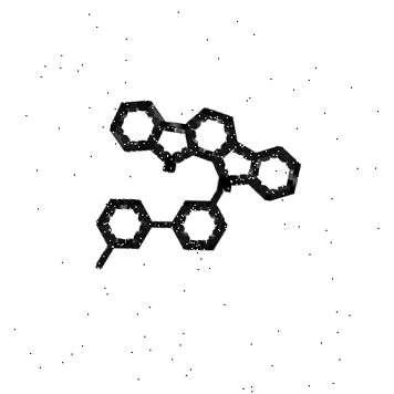 Cc1cccc(-c2cccc(-n3c4ccccc4c4ccc5c6ccccc6sc5c43)c2)c1